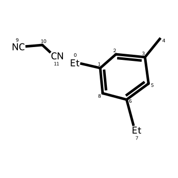 CCc1cc(C)cc(CC)c1.N#CCC#N